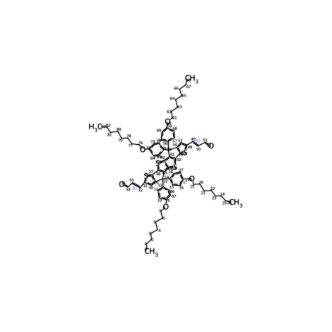 CCCCCCCCOc1ccc(C2(c3ccc(OCCCCCCCC)cc3)c3cc(/C=C/C=O)sc3-c3sc4c5c(sc4c32)-c2sc(/C=C/C=O)cc2C5(c2ccc(OCCCCCCCC)cc2)c2ccc(OCCCCCCCC)cc2)cc1